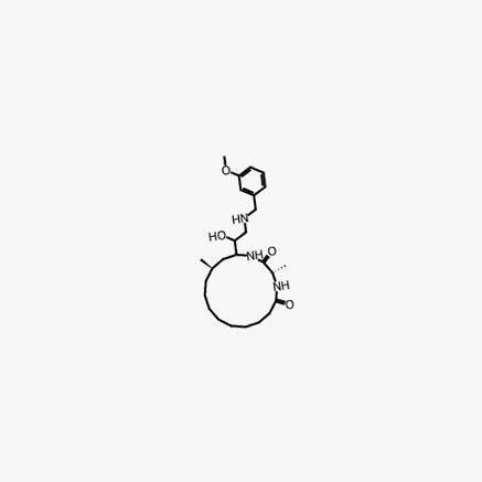 COc1cccc(CNCC(O)C2C[C@H](C)CCCCCCCCC(=O)N[C@@H](C)C(=O)N2)c1